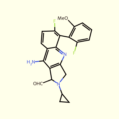 COc1cccc(F)c1-c1c(F)ccc2c(N)c3c(nc12)CN(C1CC1)C3C=O